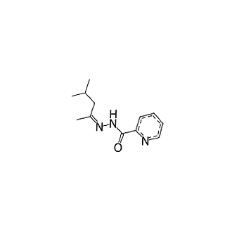 CC(CC(C)C)=NNC(=O)c1ccccn1